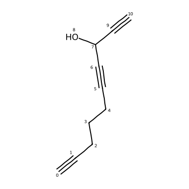 C#CCCCC#CC(O)C#C